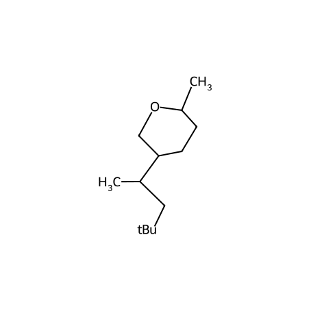 CC1CCC(C(C)CC(C)(C)C)CO1